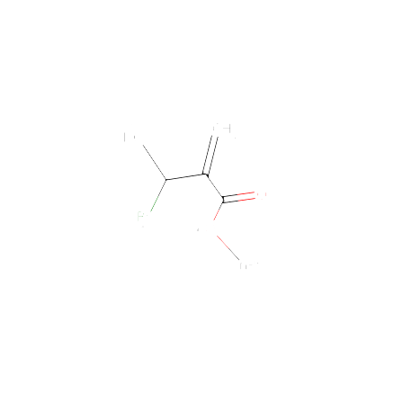 C=C(C(=O)OCCC)C(C)Br